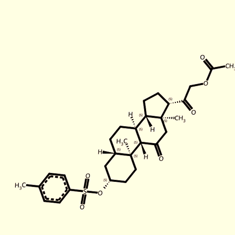 CC(=O)OCC(=O)[C@H]1CC[C@H]2[C@@H]3CC[C@H]4C[C@@H](OS(=O)(=O)c5ccc(C)cc5)CC[C@]4(C)[C@H]3C(=O)C[C@]12C